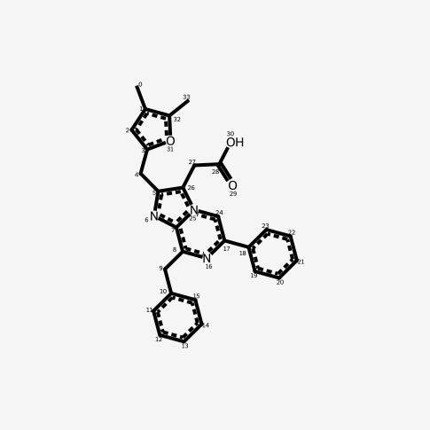 Cc1cc(Cc2nc3c(Cc4ccccc4)nc(-c4ccccc4)cn3c2CC(=O)O)oc1C